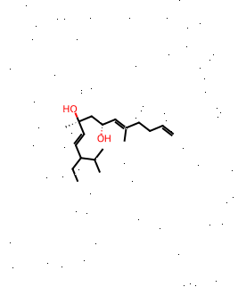 C=CCC/C(C)=C/[C@H](O)C[C@](C)(O)/C=C/C(CC)C(C)C